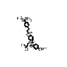 CCN(CC)CCN(c1ccc2c(c1)nc(CCc1ccc(C(N)=NO)cc1)n2C)S(=O)(=O)c1ccc(OC)cc1